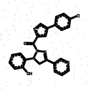 O=C(c1cc(-c2ccc(Cl)cc2)cs1)N1N=C(c2cccnc2)CC1c1ccccc1O